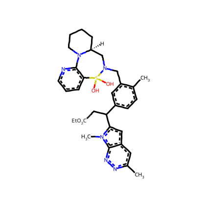 CCOC(=O)CC(c1ccc(C)c(CN2C[C@@H]3CCCCN3c3ncccc3S2(O)O)c1)c1cc2cc(C)nnc2n1C